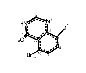 O=c1[nH]cnc2c(I)ccc(Br)c12